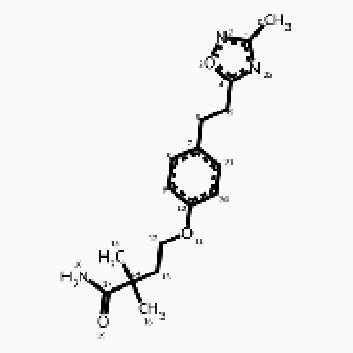 Cc1noc([CH]Cc2ccc(OCCC(C)(C)C(N)=O)cc2)n1